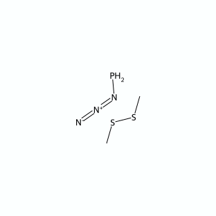 CSSC.[N-]=[N+]=NP